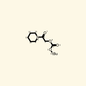 CC(C)(C)OC(=O)OCC(=O)N1CC[CH]CC1